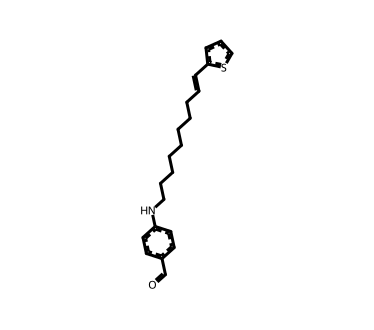 O=Cc1ccc(NCCCCCCCCC=Cc2cccs2)cc1